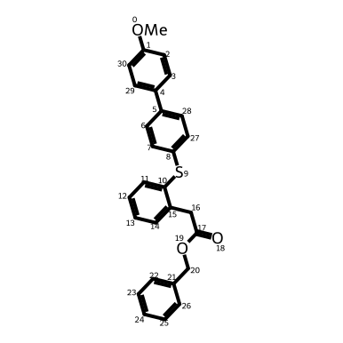 COc1ccc(-c2ccc(Sc3ccccc3CC(=O)OCc3ccccc3)cc2)cc1